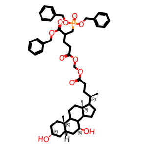 C[C@H](CCC(=O)OCOC(=O)CCC(CP(=O)(OCc1ccccc1)OCc1ccccc1)C(=O)OCc1ccccc1)C1CCC2C3C(CC[C@@]21C)[C@@]1(C)CC[C@@H](O)C[C@H]1C[C@@H]3O